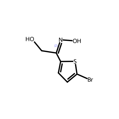 OC/C(=N/O)c1ccc(Br)s1